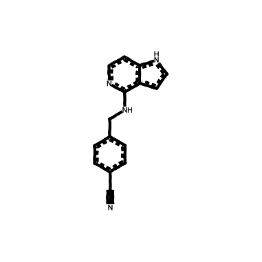 N#Cc1ccc(CNc2nccc3[nH]ccc23)cc1